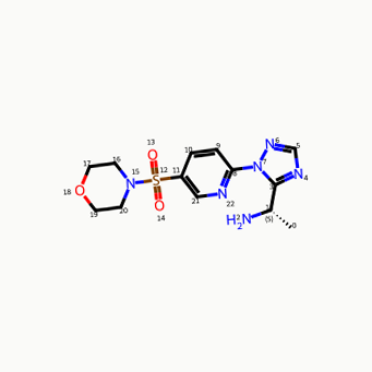 C[C@H](N)c1ncnn1-c1ccc(S(=O)(=O)N2CCOCC2)cn1